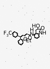 CCOc1ccccc1/C(=C\C=C\C(=O)Nc1cccc2c1CC(O)C(=O)N2)c1ccc(C(F)(F)F)cc1